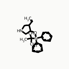 C=CC1CNCC1O[Si](c1ccccc1)(c1ccccc1)C(C)(C)C